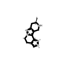 C[C@@H]1Cc2nn3c(c2CN1)-c1nocc1CC3